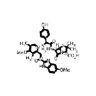 CC1(C)S[C@@H]2[C@H](NC(=O)C(N)c3ccc(O)cc3)C(=O)N2[C@H]1C(=O)O.COc1ccc2[nH]c([S+]([O-])Cc3ncc(C)c(OC)c3C)nc2c1